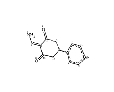 NC=C1C(=O)CC(c2ccccc2)CC1=O